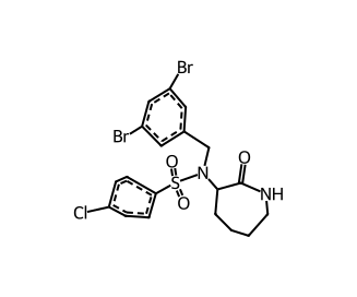 O=C1NCCCCC1N(Cc1cc(Br)cc(Br)c1)S(=O)(=O)c1ccc(Cl)cc1